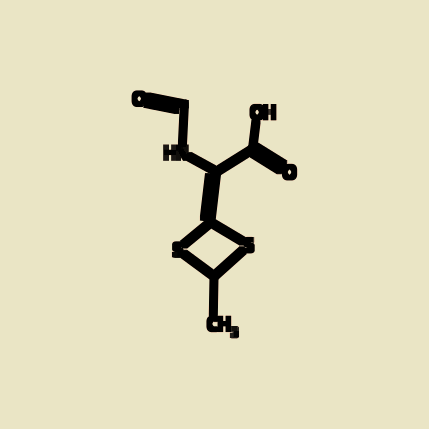 CC1SC(=C(NC=O)C(=O)O)S1